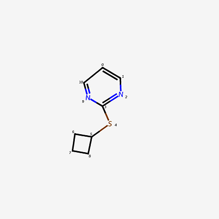 c1cnc(SC2CCC2)nc1